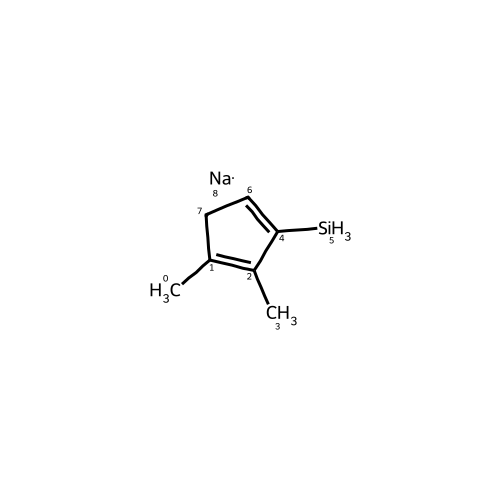 CC1=C(C)C([SiH3])=CC1.[Na]